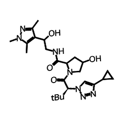 Cc1nn(C)c(C)c1C(O)CNC(=O)C1CC(O)CN1C(=O)[C@@H](n1cc(C2CC2)nn1)C(C)(C)C